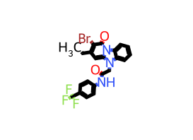 CCc1cc2n(CC(=O)Nc3ccc(C(F)(F)F)cc3)c3ccccc3n2c(=O)c1Br